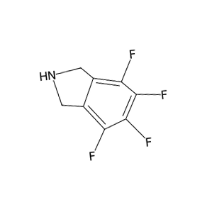 Fc1c(F)c(F)c2c(c1F)CNC2